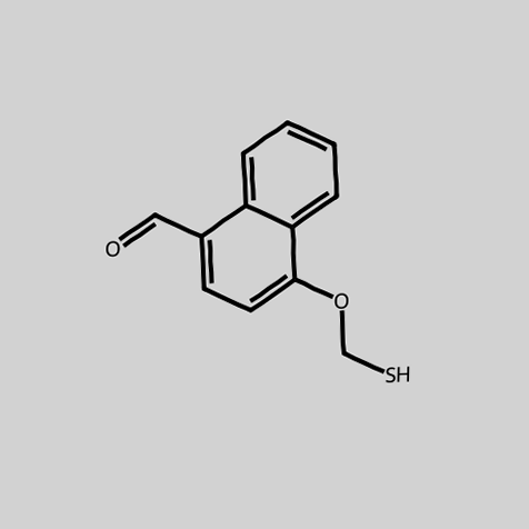 O=Cc1ccc(OCS)c2ccccc12